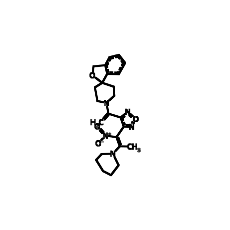 C=C(c1nonc1/C(=C(\C)N1CCCCC1)[N+](=O)[O-])N1CCC2(CC1)OCc1ccccc12